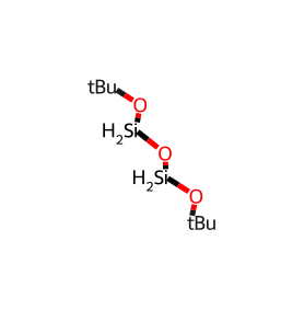 CC(C)(C)O[SiH2]O[SiH2]OC(C)(C)C